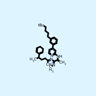 C=C(Nc1cc(-c2cccc(CCCCC(C)(C)C)c2)ccn1)C(=N/C)/N=C(\C)CCC(C)C1=CCCC=C1